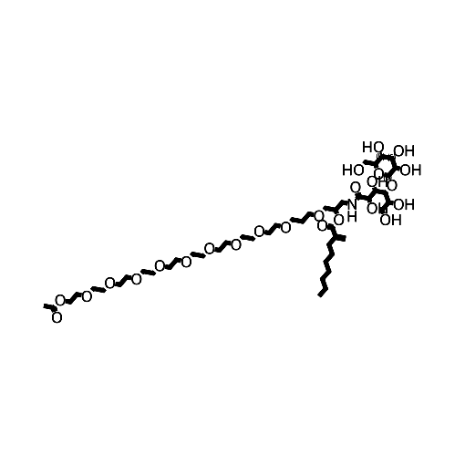 C=C(CCCCCCC)C(=O)OC(CNC(=O)C(O)C(O)C(O[C@@H]1OC(CO)[C@H](O)[C@H](O)C1O)C(O)CO)COCCCOCCOCCOCCOCCOCCOCCOCCOCCOCCOC(C)=O